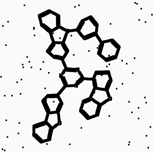 c1ccc(-c2cccc(-n3c4ccccc4c4ccc(-c5nc(-c6ccc7c(c6)oc6ccccc67)nc(-c6cccc7oc8ccccc8c67)n5)cc43)c2)cc1